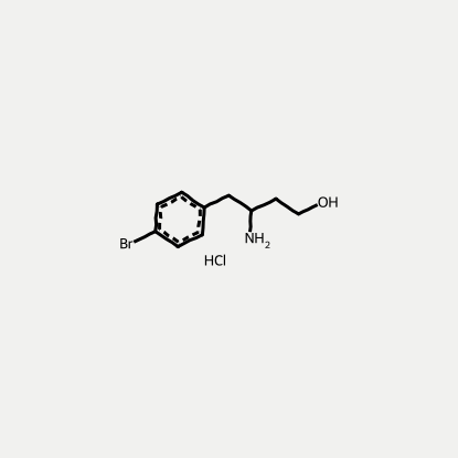 Cl.NC(CCO)Cc1ccc(Br)cc1